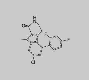 Cc1c2n(c3c(-c4ccc(F)cc4F)cc(Cl)cc13)CCNC2=O